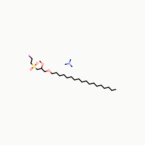 CCCCCCCCCCCCCCCCCCOCC(CS(=O)(=O)CCI)OC.CN(C)C